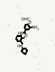 Nc1cc(C(=O)Nc2cccc(CNc3ccccc3)c2F)ccc1OC=O